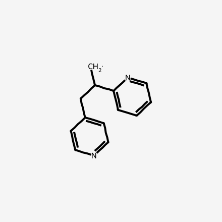 [CH2]C(Cc1ccncc1)c1ccccn1